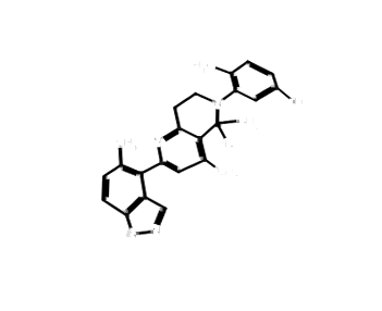 BC1(B)c2c(C)cc(-c3c(C)ccc4[nH]ncc34)nc2CCN1c1cc(C(C)C)ccc1C